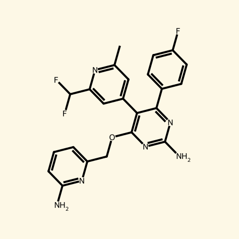 Cc1cc(-c2c(OCc3cccc(N)n3)nc(N)nc2-c2ccc(F)cc2)cc(C(F)F)n1